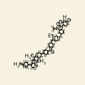 CC[C@H]1CN(Cc2ccc3c(c2)n(C2CC2)c(=O)n3[C@H]2CCC(=O)NC2=O)CCN1CC1CCN(C(=O)c2ccc(C3CCN([C@@H](C)c4cc5c(-c6ccc(N)nc6)ccnc5n4C)CC3)cc2)CC1